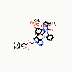 Cc1ccn2nc(C(C)Nc3ncnc4c3c(-c3cc(NS(C)(=O)=O)cc(OS(C)(=O)=O)c3)cn4COCC[Si](C)(C)C)n(-c3ccccc3)c(=O)c12